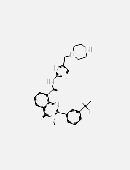 Cn1c(-c2cccc(C(C)(F)F)c2)nc2c(C(=O)Nc3nc(CN4CCNCC4)cs3)cccc2c1=O